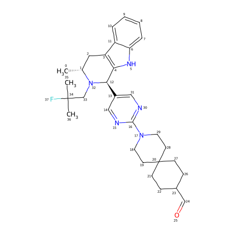 C[C@@H]1Cc2c([nH]c3ccccc23)[C@@H](c2cnc(N3CCC4(CCC(C=O)CC4)CC3)nc2)N1CC(C)(C)F